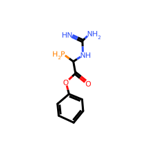 N=C(N)NC(P)C(=O)Oc1ccccc1